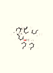 CCCO[C@@H]1OC(C)[C@H](O)[C@H](O)C1O[C@@H]1OC(C)[C@H](O)[C@H](O[C@H]2O[C@@H](CO)[C@@H](O)C(O)C2O)C1O[C@@H]1OC(CO)[C@@H](O)C(O[C@@H]2OC(C)[C@H](O)[C@H](O[C@@H]3OC(C)[C@H](O)[C@H](O)C3O)C2O)[C@@H]1NC(C)=O